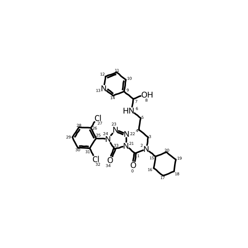 O=C(N(CCCNC(O)c1cccnc1)C1CCCCC1)n1nnn(-c2c(Cl)cccc2Cl)c1=O